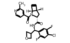 Cc1cc(C(=O)N2[C@@H](C(=O)N[C@@H](c3cc(F)c(Cl)cc3F)C3COC3)C[C@H]3C#C[C@H]32)ccn1